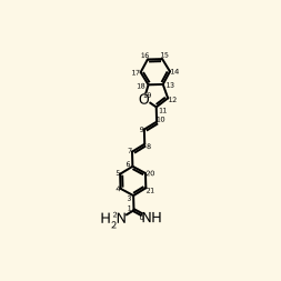 N=C(N)c1ccc(/C=C/C=C/c2cc3ccccc3o2)cc1